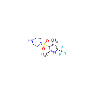 Cc1cc(C(F)(F)F)nc(C)c1S(=O)(=O)N1CCNCC1